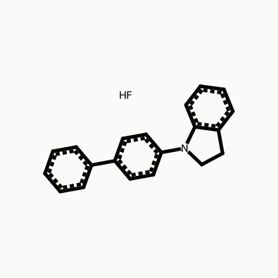 F.c1ccc(-c2ccc(N3CCc4ccccc43)cc2)cc1